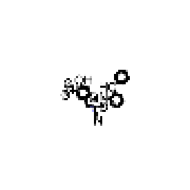 N#C/C(=C/c1ccc(O)c([N+](=O)[O-])c1)S(=O)(=O)Nc1ccccc1Oc1ccccc1